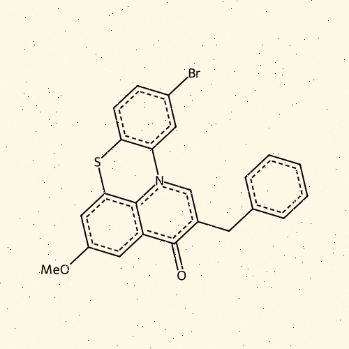 COc1cc2c3c(c1)c(=O)c(Cc1ccccc1)cn3-c1cc(Br)ccc1S2